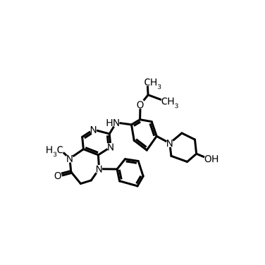 CC(C)Oc1cc(N2CCC(O)CC2)ccc1Nc1ncc2c(n1)N(c1ccccc1)CCC(=O)N2C